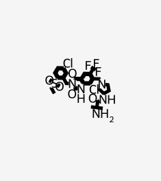 CCS(=O)(=O)c1ccc(Cl)cc1Cn1c(=O)[nH]c2c(Cl)c(CN3CCC(NC(=O)C(C)(C)N)C3)c(C(F)(F)F)cc2c1=O